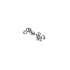 O=c1c2c3c(sc2ncn1CCN1CCN(c2nccc4ccccc24)CC1)CSCC3